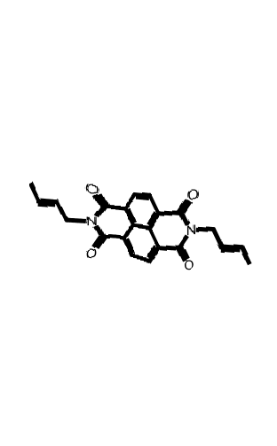 CC=CCN1C(=O)c2ccc3c4c(ccc(c24)C1=O)C(=O)N(CC=CC)C3=O